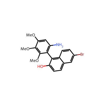 COc1cc(N)c(-c2c(O)ccc3cc(Br)ccc23)c(OC)c1OC